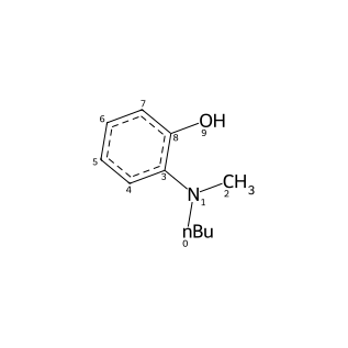 CCCCN(C)c1ccccc1O